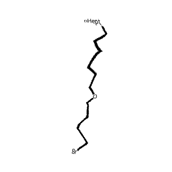 CCCCCCCCCCCCCOCCCCBr